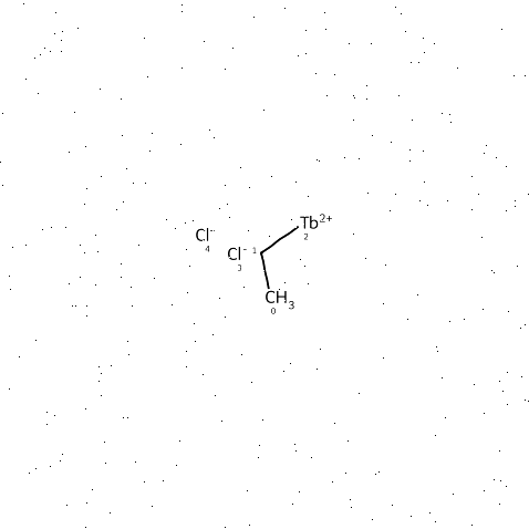 C[CH2][Tb+2].[Cl-].[Cl-]